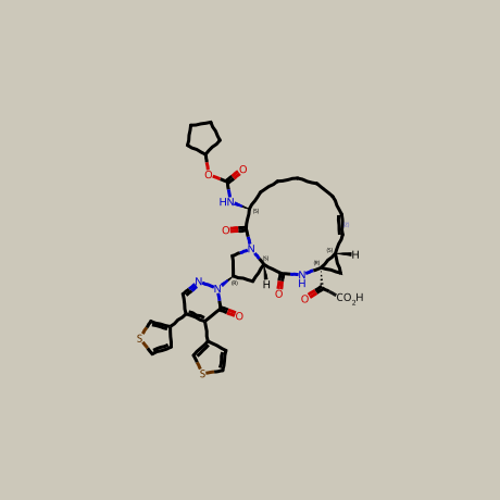 O=C(N[C@H]1CCCCC/C=C\[C@@H]2C[C@@]2(C(=O)C(=O)O)NC(=O)[C@@H]2C[C@@H](n3ncc(-c4ccsc4)c(-c4ccsc4)c3=O)CN2C1=O)OC1CCCC1